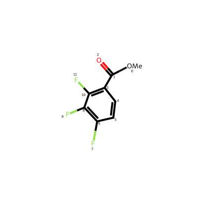 COC(=O)c1ccc(F)c(F)c1F